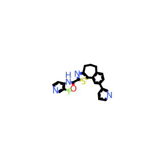 O=C(Nc1ccncc1F)c1nc2c(s1)-c1cc(-c3cccnc3)ccc1CCC2